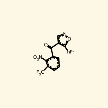 CCCc1oncc1C(=O)c1cccc(C(F)(F)F)c1[N+](=O)[O-]